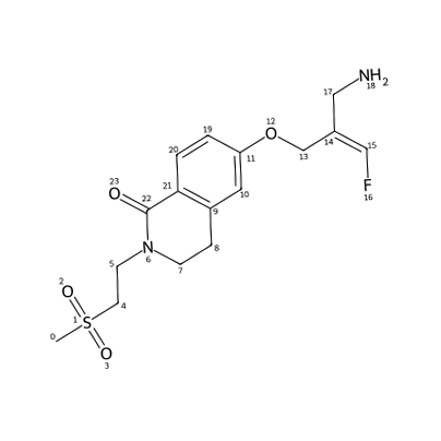 CS(=O)(=O)CCN1CCc2cc(OC/C(=C\F)CN)ccc2C1=O